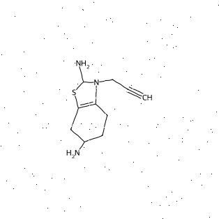 C#CCN1C2=C(CC(N)CC2)SC1N